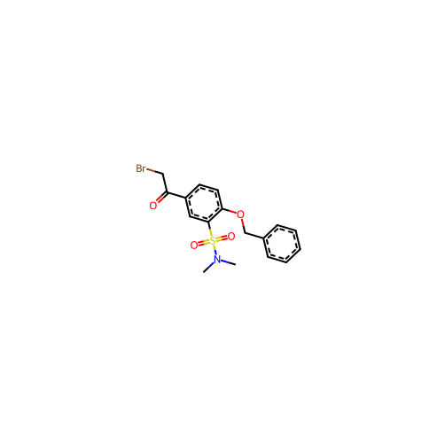 CN(C)S(=O)(=O)c1cc(C(=O)CBr)ccc1OCc1ccccc1